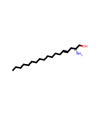 CCCCCCCCCCCCC/C=C/C[C@@H](N)CO